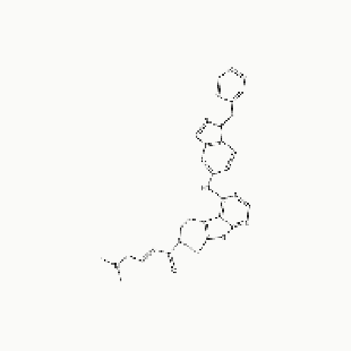 CN(C)C/C=C/C(=O)N1CCc2c(sc3ncnc(Nc4ccc5c(cnn5Cc5ccccc5)c4)c23)C1